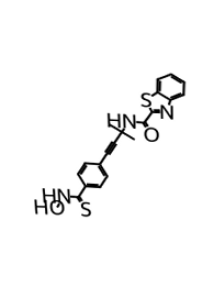 CC(C)(C#Cc1ccc(C(=S)NO)cc1)NC(=O)c1nc2ccccc2s1